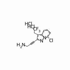 Cl.Cl.NCC#Cc1nn2c(Cl)cccc2c1CC(F)(F)F